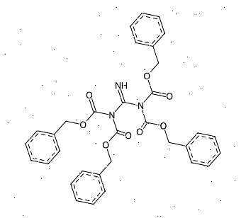 N=C(N(C(=O)OCc1ccccc1)C(=O)OCc1ccccc1)N(C(=O)OCc1ccccc1)C(=O)OCc1ccccc1